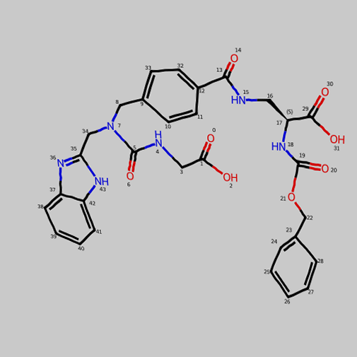 O=C(O)CNC(=O)N(Cc1ccc(C(=O)NC[C@H](NC(=O)OCc2ccccc2)C(=O)O)cc1)Cc1nc2ccccc2[nH]1